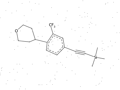 C[Si](C)(C)C#Cc1ccc(C2CCOCC2)c(C(F)(F)F)c1